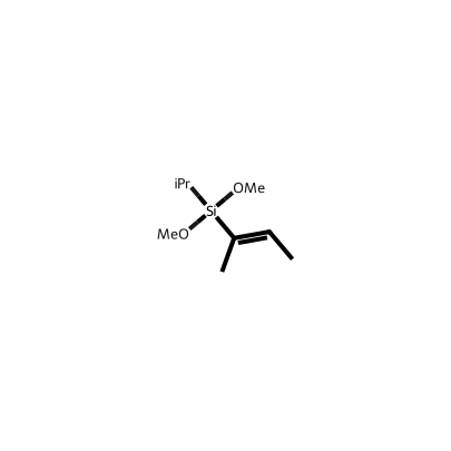 CC=C(C)[Si](OC)(OC)C(C)C